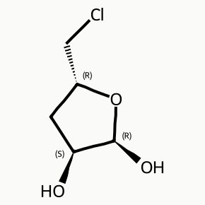 O[C@@H]1O[C@@H](CCl)C[C@@H]1O